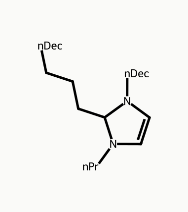 CCCCCCCCCCCCCC1N(CCC)C=CN1CCCCCCCCCC